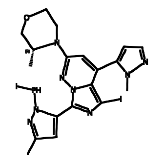 Cc1cc(-c2nc(I)c3c(-c4ccnn4C)cc(N4CCOC[C@H]4C)nn23)n(PI)n1